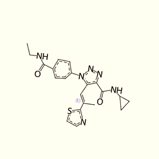 CCNC(=O)c1ccc(-n2nnc(C(=O)NC3CC3)c2/C=C(\C)c2nccs2)cc1